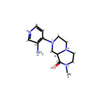 CC(C)N1CCN2CCN(c3ccncc3N)CC2C1=O